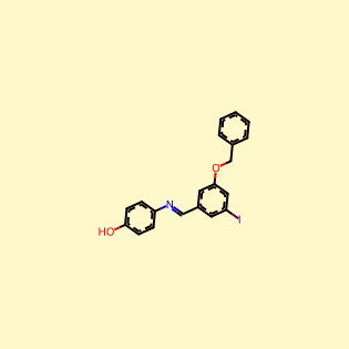 Oc1ccc(N=Cc2cc(I)cc(OCc3ccccc3)c2)cc1